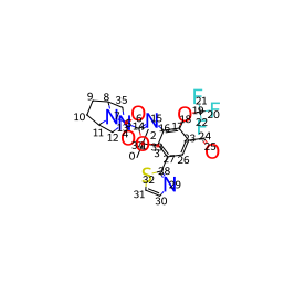 CC(C)(C)OC(=O)N1C2CCC1CN(c1nc3c(OC(F)(F)F)c(C=O)cc(-c4nccs4)c3o1)C2